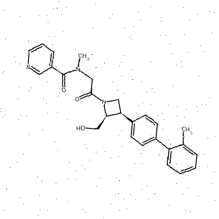 Cc1ccccc1-c1ccc([C@@H]2CN(C(=O)CN(C)C(=O)c3cccnc3)[C@@H]2CO)cc1